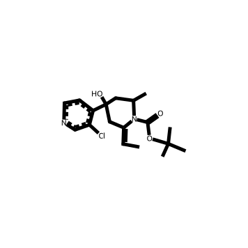 C/C=C1/CC(O)(c2ccncc2Cl)CC(C)N1C(=O)OC(C)(C)C